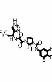 C[C@H]1[C@@H](C(=O)Nc2cc(F)c(F)c(F)c2)CCN1C(=O)C(=O)NC(CC(F)(F)F)c1c[nH]nn1